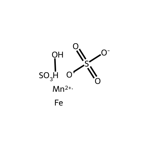 O=S(=O)(O)O.O=S(=O)([O-])[O-].[Fe].[Mn+2]